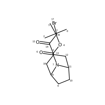 CC(C)(C)OC(=O)N1C2CCC1CC(C(=O)CBr)C2